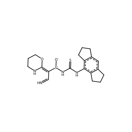 N=C/C(=C1\NCCCO1)[S+]([O-])NC(=S)Nc1c2c(cc3c1CCC3)CCC2